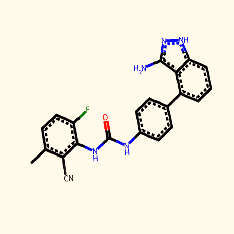 Cc1ccc(F)c(NC(=O)Nc2ccc(-c3cccc4[nH]nc(N)c34)cc2)c1C#N